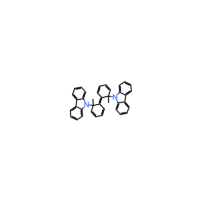 CC1(n2c3ccccc3c3ccccc32)C=CC=C/C1=C1/C=CC=CC1(C)n1c2ccccc2c2ccccc21